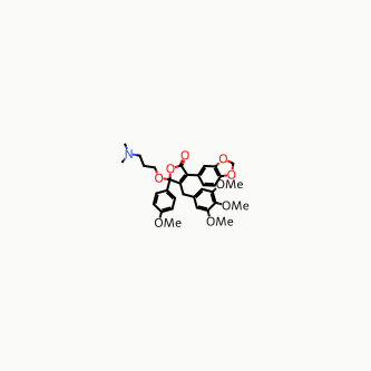 COc1ccc(C2(OCCCN(C)C)OC(=O)C(c3ccc4c(c3)OCO4)=C2Cc2cc(OC)c(OC)c(OC)c2)cc1